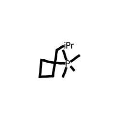 CC(C)CC1(P(C)(C)(C)C)CCC1